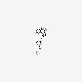 OCCOc1cccc(CCn2ccc3c(Cl)nc4ccccc4c32)c1